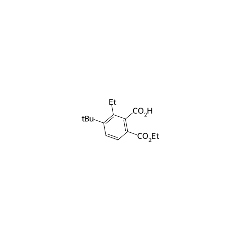 CCOC(=O)c1ccc(C(C)(C)C)c(CC)c1C(=O)O